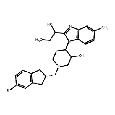 CCC(O)c1nc2cc(C)ccc2n1C1CCN(C[C@H]2Cc3ccc(Br)cc3C2)CC1O